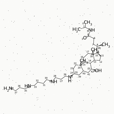 CC(C)NC(=O)CC[C@@H](C)[C@H]1CCC2C3C(CC[C@@]21C)[C@@]1(C)CC[C@H](NCCCNCCCCNCCCN)CC1C[C@@H]3O